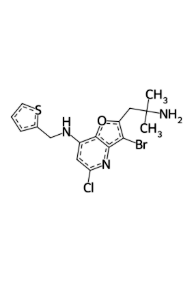 CC(C)(N)Cc1oc2c(NCc3cccs3)cc(Cl)nc2c1Br